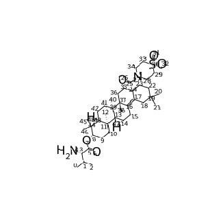 CC(C)[C@H](N)C(=O)O[C@H]1CC[C@]2(C)[C@H]3CCC4=C5CC(C)(C)CC[C@]5(C(=O)N5CCS(=O)(=O)CC5)CC[C@@]4(C)[C@]3(C)CC[C@H]2C1(C)C